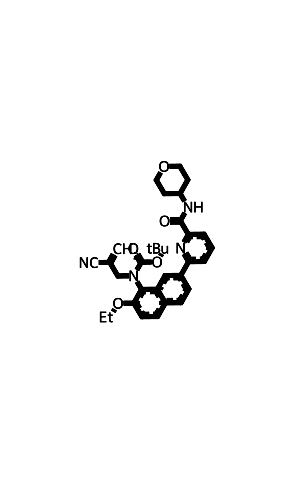 C=C(C#N)CN(C(=O)OC(C)(C)C)c1c(OCC)ccc2ccc(-c3cccc(C(=O)NC4CCOCC4)n3)cc12